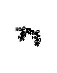 CC(NC(=O)OC(C)(C)C)C(=O)NCc1csc(-n2nc(C(F)(F)F)cc2C(=O)O)n1